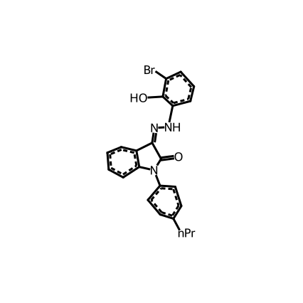 CCCc1ccc(N2C(=O)C(=NNc3cccc(Br)c3O)c3ccccc32)cc1